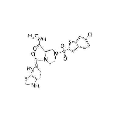 CNC(=O)C1CN(S(=O)(=O)c2cc3ccc(Cl)cc3s2)CCN1C(=O)N1CCC2=C(N1)SCN2